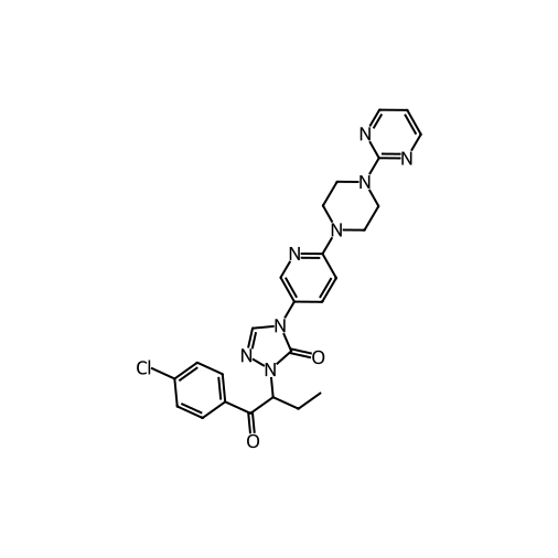 CCC(C(=O)c1ccc(Cl)cc1)n1ncn(-c2ccc(N3CCN(c4ncccn4)CC3)nc2)c1=O